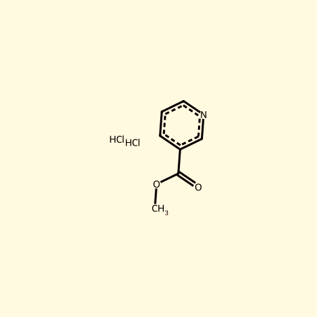 COC(=O)c1cccnc1.Cl.Cl